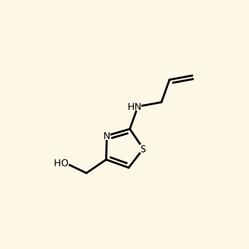 C=CCNc1nc(CO)cs1